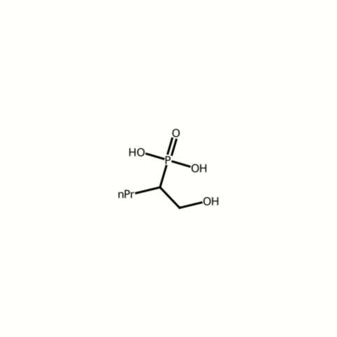 CCCC(CO)P(=O)(O)O